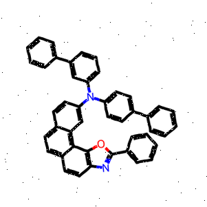 c1ccc(-c2ccc(N(c3cccc(-c4ccccc4)c3)c3ccc4ccc5ccc6nc(-c7ccccc7)oc6c5c4c3)cc2)cc1